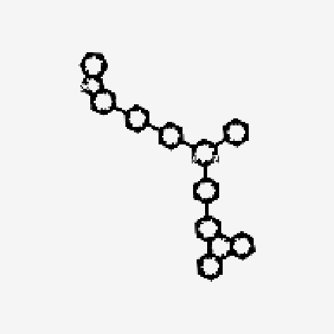 c1ccc(-c2cc(-c3ccc(-c4ccc(-c5ccc6sc7ccccc7c6c5)cc4)cc3)nc(-c3ccc(-c4ccc5c6ccccc6c6ccccc6c5c4)cc3)n2)cc1